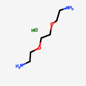 Cl.NCCOCCOCCN